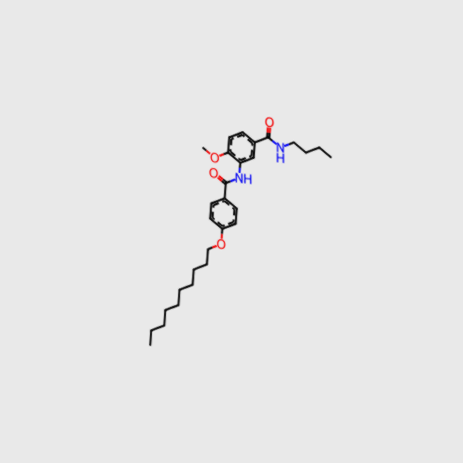 CCCCCCCCCCOc1ccc(C(=O)Nc2cc(C(=O)NCCCC)ccc2OC)cc1